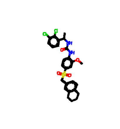 COc1cc(S(=O)(=O)Cc2ccc3c(c2)CCCC3)ccc1NC(=O)NC(C)c1cccc(Cl)c1Cl